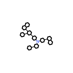 c1ccc(-c2cccc(N(c3ccc(-c4ccc(-c5cccc6ccccc56)c(-c5ccccc5)c4)cc3)c3ccc(-c4cccc5ccccc45)cc3)c2)cc1